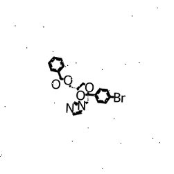 O=C(OC[C@@H]1CO[C@@](Cn2ccnc2)(c2ccc(Br)cc2)O1)c1ccccc1